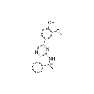 COc1cc(-c2cncc(N[C@@H](C)c3ccccc3)n2)ccc1O